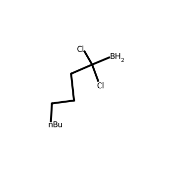 BC(Cl)(Cl)CCCCCCC